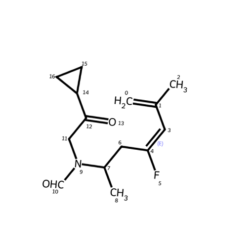 C=C(C)/C=C(/F)CC(C)N(C=O)CC(=O)C1CC1